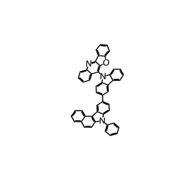 c1ccc(-n2c3ccc(-c4ccc5c(c4)c4ccccc4n5-c4c5ccccc5nc5c4oc4ccccc45)cc3c3c4ccccc4ccc32)cc1